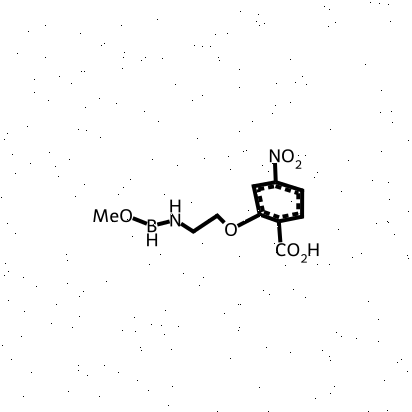 COBNCCOc1cc([N+](=O)[O-])ccc1C(=O)O